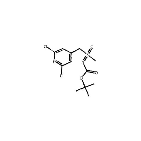 CC(C)(C)OC(=O)N=S(C)(=O)Cc1cc(Cl)nc(Cl)c1